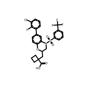 O=C(O)C1(CC2CN(S(=O)(=O)c3cccc(C(F)(F)F)c3)c3cc(-c4cccc(Cl)c4F)ccc3O2)CCC1